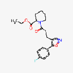 CCOC(=O)C1CCCCN1C(=O)CCc1cnoc1-c1ccc(F)cc1